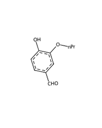 CCCOc1cc(C=O)ccc1O